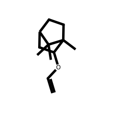 C=COC1CC2CCC1(C)C2(C)C